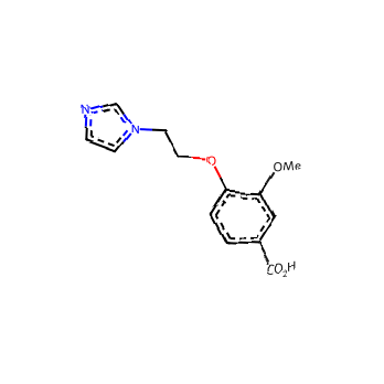 COc1cc(C(=O)O)ccc1OCCn1ccnc1